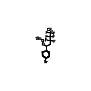 CC(C)(C)OOC(CC(F)(F)C(F)(F)C(F)(F)C(F)(F)F)c1ccc(Br)cc1